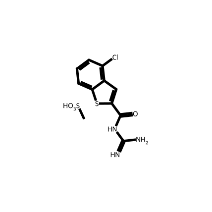 CS(=O)(=O)O.N=C(N)NC(=O)c1cc2c(Cl)cccc2s1